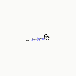 CCOC(=O)/C(C)=C(\C)CC/C=C(\C)CC/C=C(\C)CCC=C(C)C